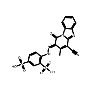 CC1=C(C#N)c2nc3ccccc3n2C(=O)/C1=N/Nc1ccc(S(=O)(=O)O)cc1S(=O)(=O)O